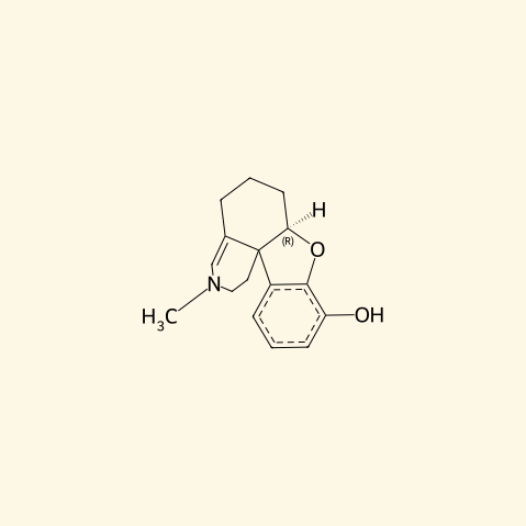 CN1C=C2CCC[C@H]3Oc4c(O)cccc4C23CC1